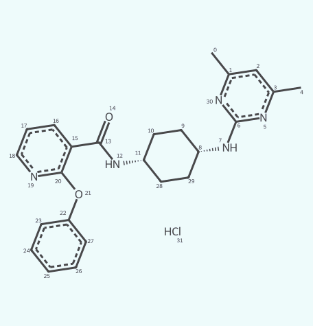 Cc1cc(C)nc(N[C@H]2CC[C@@H](NC(=O)c3cccnc3Oc3ccccc3)CC2)n1.Cl